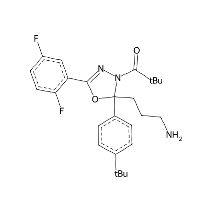 CC(C)(C)C(=O)N1N=C(c2cc(F)ccc2F)OC1(CCCN)c1ccc(C(C)(C)C)cc1